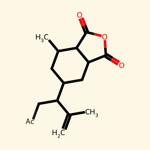 C=C(C)C(CC(C)=O)C1CC(C)C2C(=O)OC(=O)C2C1